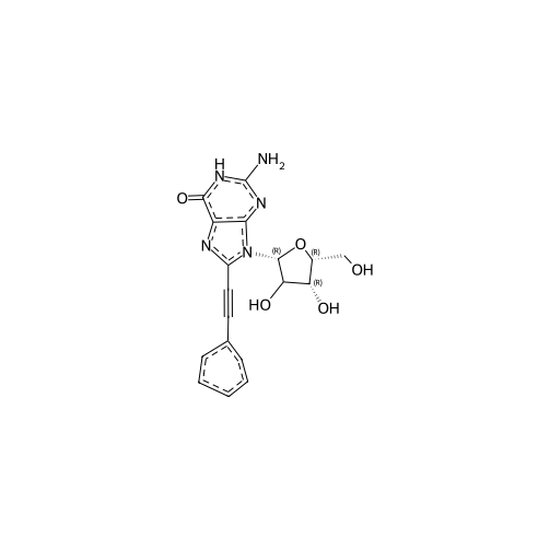 Nc1nc2c(nc(C#Cc3ccccc3)n2[C@@H]2O[C@H](CO)[C@H](O)C2O)c(=O)[nH]1